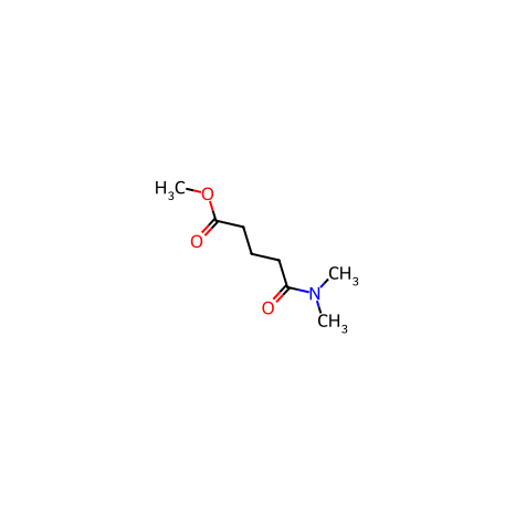 COC(=O)CCCC(=O)N(C)C